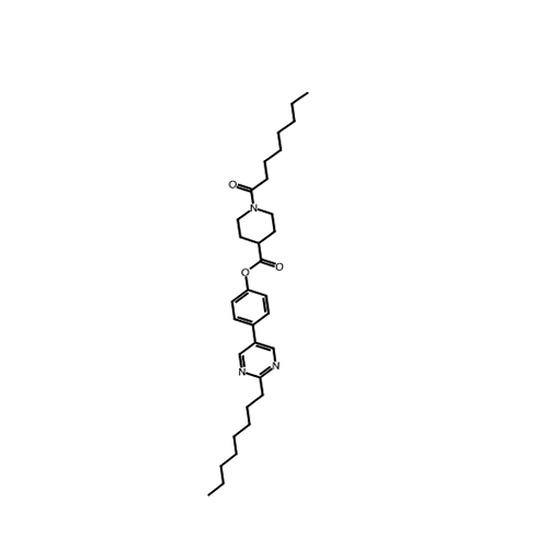 CCCCCCCCc1ncc(-c2ccc(OC(=O)C3CCN(C(=O)CCCCCCC)CC3)cc2)cn1